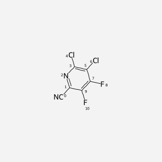 N#Cc1nc(Cl)c(Cl)c(F)c1F